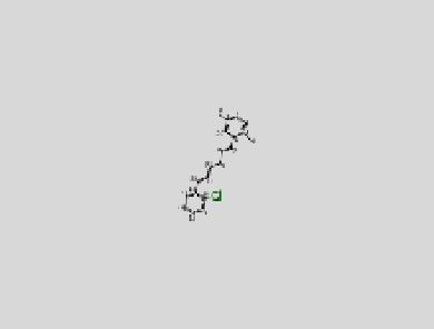 Cc1ccc(C)c(/C=C/C[CH]/C=C/c2ccccc2Cl)c1